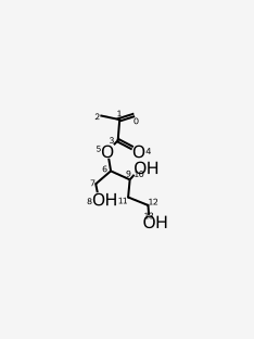 C=C(C)C(=O)OC(CO)C(O)CCO